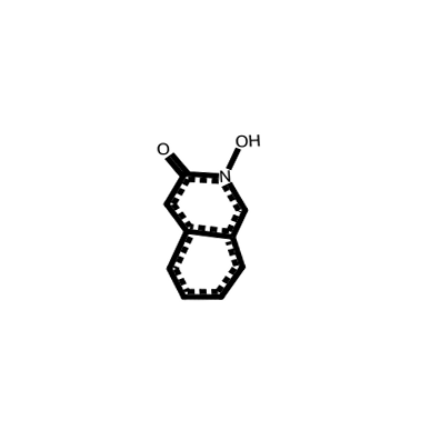 O=c1cc2ccccc2cn1O